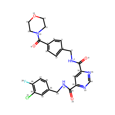 O=C(NCc1ccc(C(=O)N2CCOCC2)cc1)c1cc(C(=O)NCc2ccc(F)c(Cl)c2)ncn1